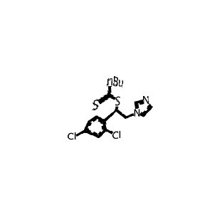 CCCCC(=S)SC(Cn1ccnc1)c1ccc(Cl)cc1Cl